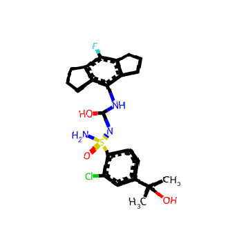 CC(C)(O)c1ccc(S(N)(=O)=NC(O)Nc2c3c(c(F)c4c2CCC4)CCC3)c(Cl)c1